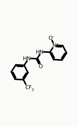 O=C(Nc1cccc(C(F)(F)F)c1)Nc1cccc[n+]1[O-]